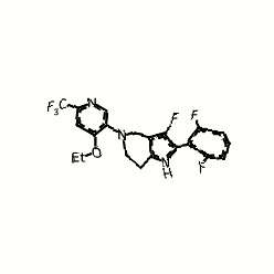 CCOc1cc(C(F)(F)F)ncc1N1CCc2[nH]c(-c3c(F)cccc3F)c(F)c2C1